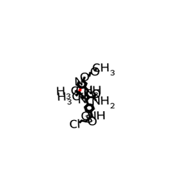 COCCOc1cc(Nc2c(C(N)=O)c(-c3ccc(NS(=O)(=O)CCCl)cc3)nn2C(C)(C)C)ccn1